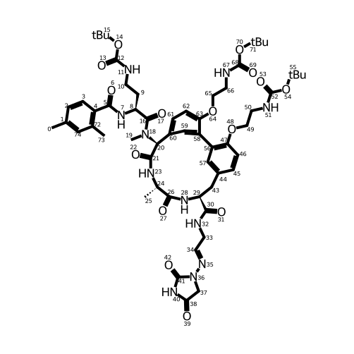 Cc1ccc(C(=O)N[C@@H](CCNC(=O)OC(C)(C)C)C(=O)N(C)[C@@H]2C(=O)N[C@@H](C)C(=O)N[C@H](C(=O)NC/C=N/N3CC(=O)NC3=O)Cc3ccc(OCCNC(=O)OC(C)(C)C)c(c3)-c3cc2ccc3OCCNC(=O)OC(C)(C)C)c(C)c1